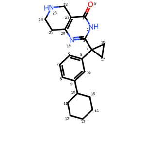 O=c1[nH]c(C2(c3cccc(C4CCCCC4)c3)CC2)nc2c1CNCC2